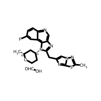 Cc1nn2cc(Cc3nc4cnc5ccc(F)cc5c4n3[C@@H]3CCO[C@H](C)C3)nc2s1.O=CO